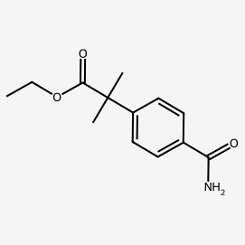 CCOC(=O)C(C)(C)c1ccc(C(N)=O)cc1